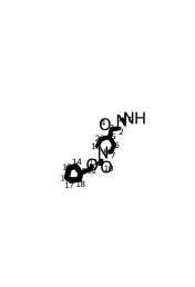 N=NCC(=O)C1CCN(C(=O)OCc2ccccc2)CC1